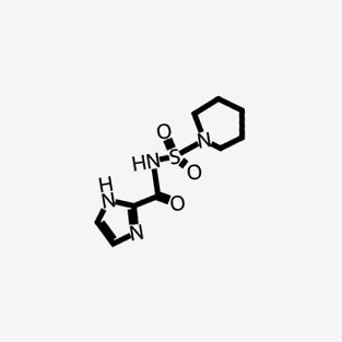 O=C(NS(=O)(=O)N1CCCCC1)c1ncc[nH]1